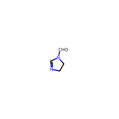 O=[C]N1C=NCC1